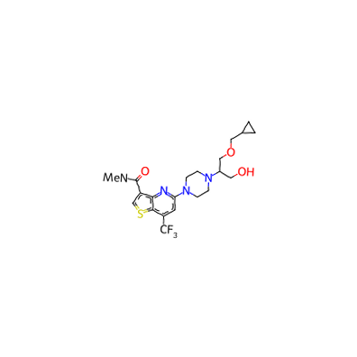 CNC(=O)c1csc2c(C(F)(F)F)cc(N3CCN(C(CO)COCC4CC4)CC3)nc12